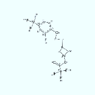 O=C(ON1CC(CCOc2ccc(C(F)(F)F)cc2F)C1)C(F)(F)F